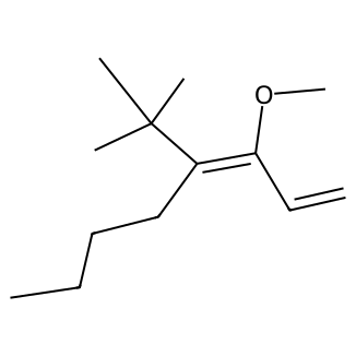 C=C/C(OC)=C(\CCCC)C(C)(C)C